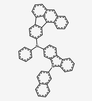 c1ccc(N(c2ccc3c(c2)-c2c4ccccc4cc4cccc-3c24)c2ccc3c4ccccc4n(-c4ccc5ccccc5c4)c3c2)cc1